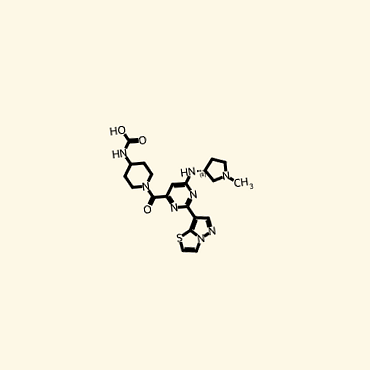 CN1CC[C@@H](Nc2cc(C(=O)N3CCC(NC(=O)O)CC3)nc(-c3cnn4ccsc34)n2)C1